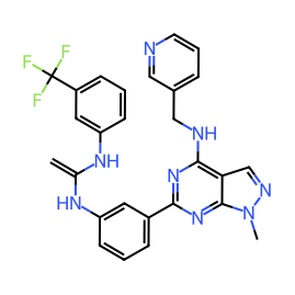 C=C(Nc1cccc(-c2nc(NCc3cccnc3)c3cnn(C)c3n2)c1)Nc1cccc(C(F)(F)F)c1